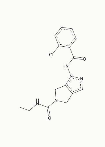 CCNC(=O)N1Cc2cnn(NC(=O)c3ccccc3Cl)c2C1